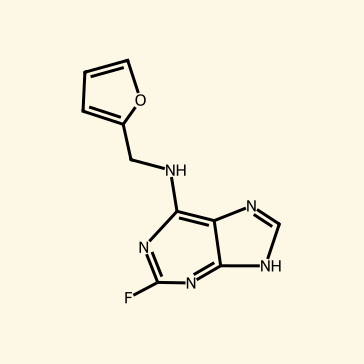 Fc1nc(NCc2ccco2)c2nc[nH]c2n1